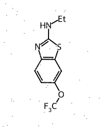 CCNc1nc2ccc(OC(F)(F)F)cc2s1